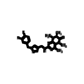 Cc1nc(NCc2cnn(Cc3ccc(F)c(F)c3)c2)nc2c1N(C)C(=O)[C@H](C)N2C